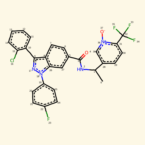 CC(NC(=O)c1ccc2c(-c3ccccc3Cl)nn(-c3ccc(F)cc3)c2c1)c1ccc(C(F)(F)F)[n+]([O-])c1